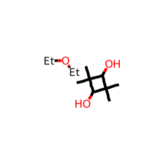 CC1(C)C(O)C(C)(C)C1O.CCOCC